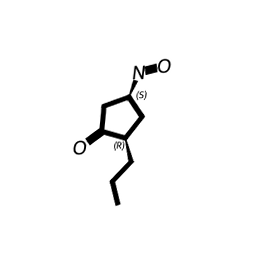 CCC[C@@H]1C[C@H](N=O)CC1=O